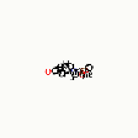 CO/C(C[S+]([O-])c1ccccc1)=C1/CC[C@H]2[C@@H]3CCC4=CC(=O)C=C[C@]4(C)C3=CC[C@]12C